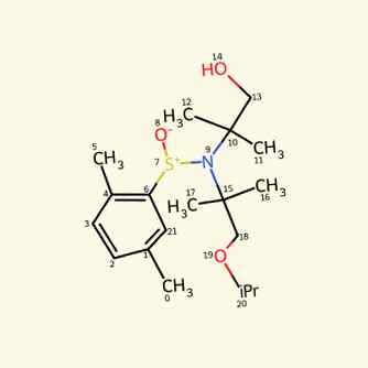 Cc1ccc(C)c([S+]([O-])N(C(C)(C)CO)C(C)(C)COC(C)C)c1